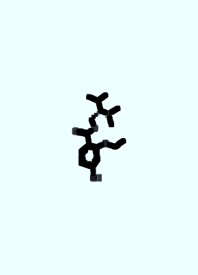 CCOc1cc(O)ccc1C(=O)OC[C@H](C(C)C)N(C)C